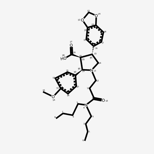 CCCCN(CCCC)C(=O)CCN1C[C@@H](c2ccc3c(c2)OCO3)[C@H](C(=O)O)[C@@H]1c1ccc(OC)cc1